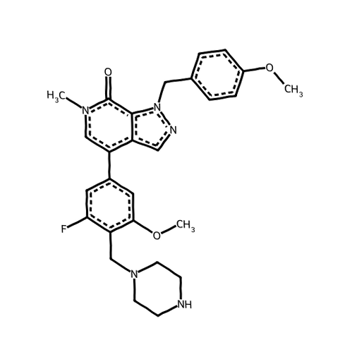 COc1ccc(Cn2ncc3c(-c4cc(F)c(CN5CCNCC5)c(OC)c4)cn(C)c(=O)c32)cc1